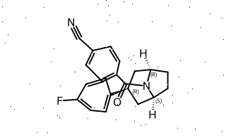 N#Cc1ccc(C(=O)N2[C@@H]3CC[C@H]2C[C@@H](c2ccc(F)cc2)C3)cc1